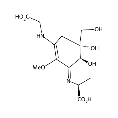 COC1=C(NCC(=O)O)C[C@@](O)(CO)[C@@H](O)/C1=N\[C@@H](C)C(=O)O